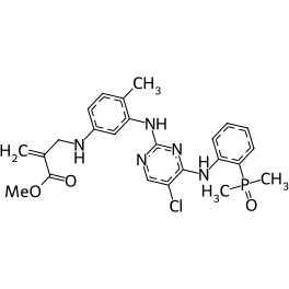 C=C(CNc1ccc(C)c(Nc2ncc(Cl)c(Nc3ccccc3P(C)(C)=O)n2)c1)C(=O)OC